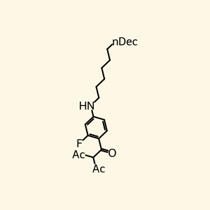 CCCCCCCCCCCCCCCCNc1ccc(C(=O)C(C(C)=O)C(C)=O)c(F)c1